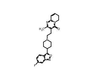 Cc1nc2n(c(=O)c1CCN1CCC(c3onc4cc(F)ccc34)CC1)CCC=C2